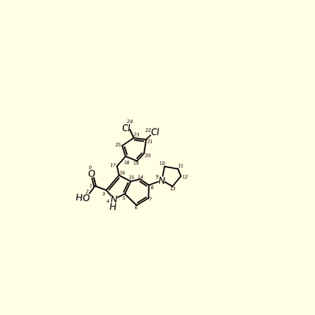 O=C(O)c1[nH]c2ccc(N3CCCC3)cc2c1Cc1ccc(Cl)c(Cl)c1